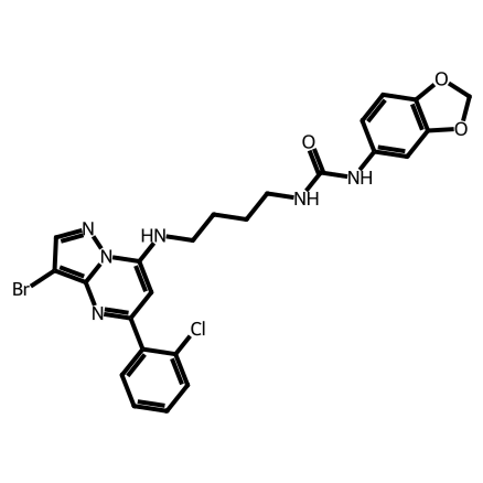 O=C(NCCCCNc1cc(-c2ccccc2Cl)nc2c(Br)cnn12)Nc1ccc2c(c1)OCO2